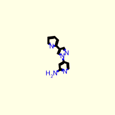 Nc1cc(-n2cc(-c3ccccn3)cn2)ccn1